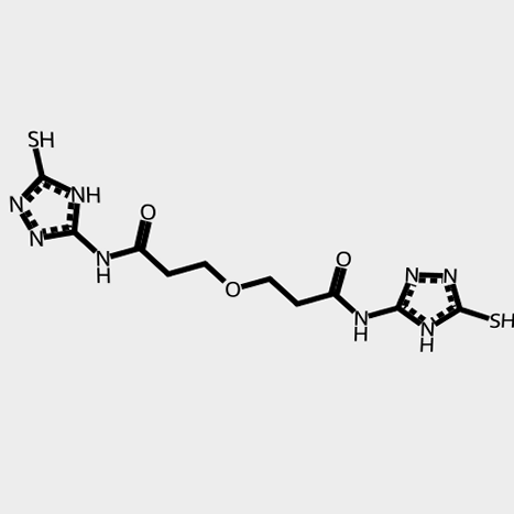 O=C(CCOCCC(=O)Nc1nnc(S)[nH]1)Nc1nnc(S)[nH]1